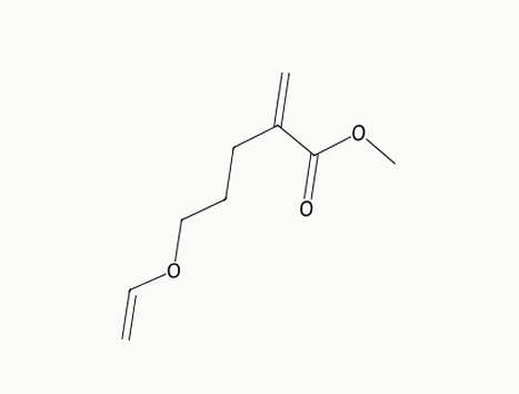 C=COCCCC(=C)C(=O)OC